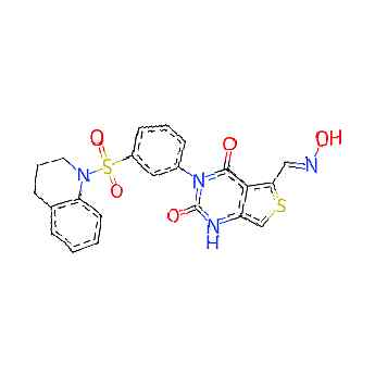 O=c1[nH]c2csc(C=NO)c2c(=O)n1-c1cccc(S(=O)(=O)N2CCCc3ccccc32)c1